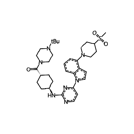 CC(C)(C)N1CCN(C(=O)[C@H]2CC[C@H](Nc3nccc(-n4ccc5c(N6CCC(S(C)(=O)=O)CC6)cccc54)n3)CC2)CC1